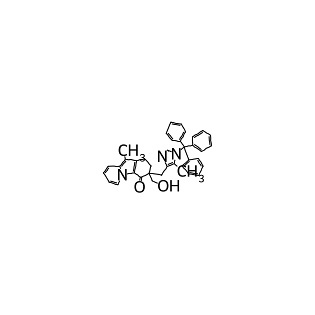 Cc1c2c(n3ccccc13)C(=O)C(CO)(Cc1ncn(C(c3ccccc3)(c3ccccc3)c3ccccc3)c1C)CC2